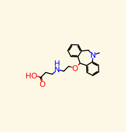 CN1Cc2ccccc2C(OCCNCCC(=O)O)c2ccccc21